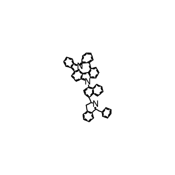 c1ccc(C2=NC(c3ccc(-n4c5cccc6c7ccccc7n7c8ccccc8c8ccc4c(c65)c87)c4ccccc34)Cc3ccccc32)cc1